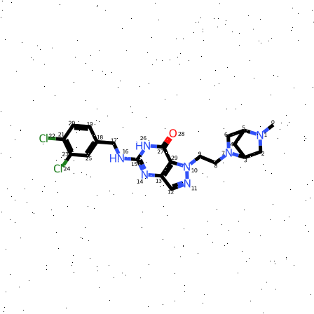 CN1CC2CC1CN2CCn1ncc2nc(NCc3ccc(Cl)c(Cl)c3)[nH]c(=O)c21